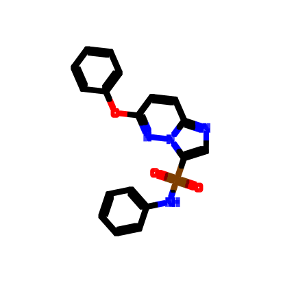 O=S(=O)(Nc1ccccc1)c1cnc2ccc(Oc3ccccc3)nn12